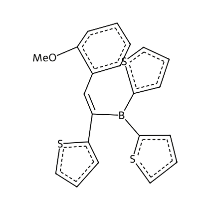 COc1ccccc1/C=C(\B(c1cccs1)c1cccs1)c1cccs1